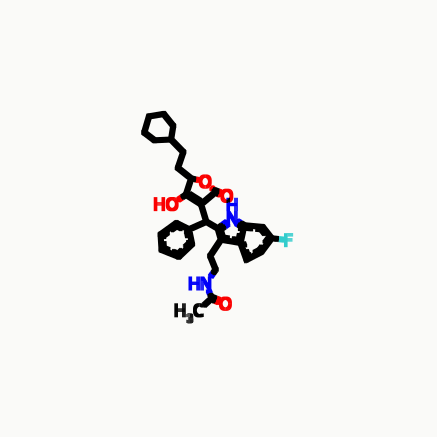 CC(=O)NCCc1c(C(C2=C(O)C(CCC3CCCCC3)OC2=O)c2ccccc2)[nH]c2cc(F)ccc12